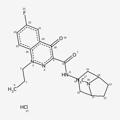 CCCn1nc(C(=O)NC2CC3CCC(C2)N3C)c(=O)c2cc(F)ccc21.Cl